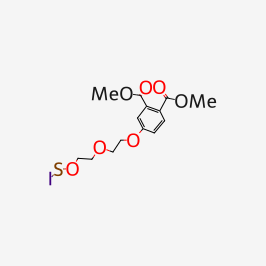 COC(=O)c1ccc(OCCOCCOSI)cc1C(=O)OC